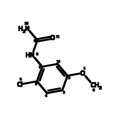 COc1ccc(Cl)c(NC(N)=O)c1